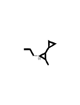 CCC[C@H]1C(C)C1C1CC1